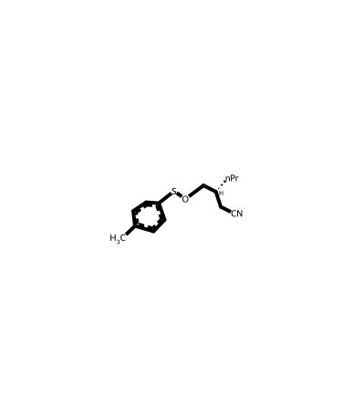 CCC[C@H](CC#N)COSc1ccc(C)cc1